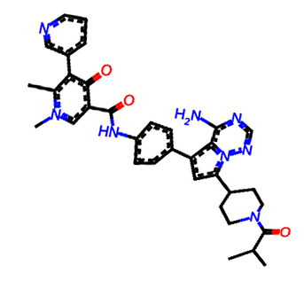 Cc1c(-c2cccnc2)c(=O)c(C(=O)Nc2ccc(-c3cc(C4CCN(C(=O)C(C)C)CC4)n4ncnc(N)c34)cc2)cn1C